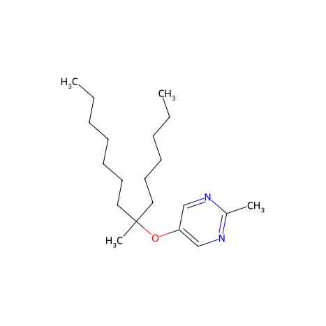 CCCCCCCC(C)(CCCCCC)Oc1cnc(C)nc1